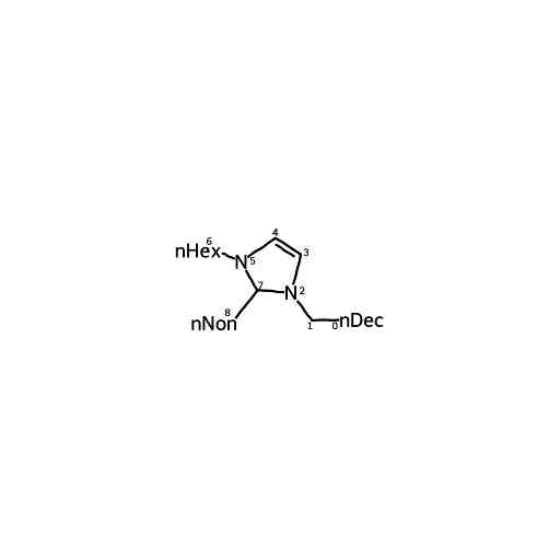 CCCCCCCCCCCN1C=CN(CCCCCC)C1CCCCCCCCC